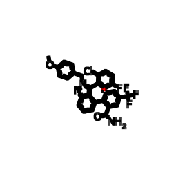 COc1ccc(Cn2nc3cccc(-c4c(F)cc(C(F)(F)F)cc4C(N)=O)c3c2-c2cc(F)ccc2Cl)cc1